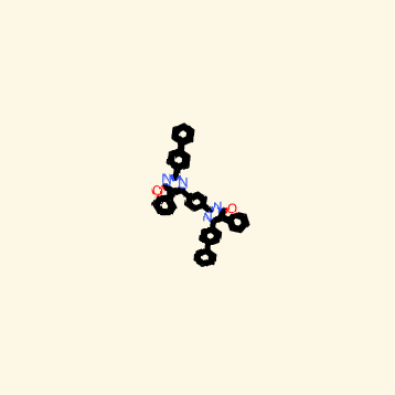 c1ccc(-c2ccc(-c3nc(-c4ccc(-c5nc(-c6ccc(-c7ccccc7)cc6)c6c(n5)oc5ccccc56)cc4)c4c(n3)oc3ccccc34)cc2)cc1